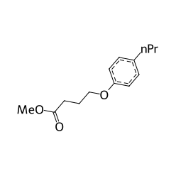 CCCc1ccc(OCCCC(=O)OC)cc1